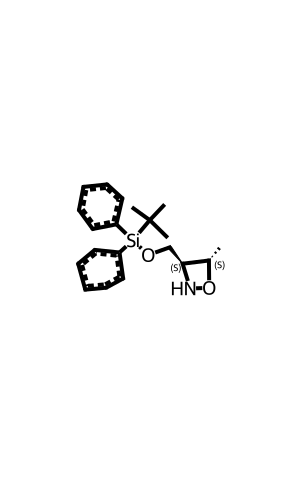 C[C@@H]1ON[C@H]1CO[Si](c1ccccc1)(c1ccccc1)C(C)(C)C